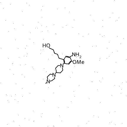 COc1cc(N2CCC(N3CCN(C)CC3)CC2)c(CCCCCO)cc1N